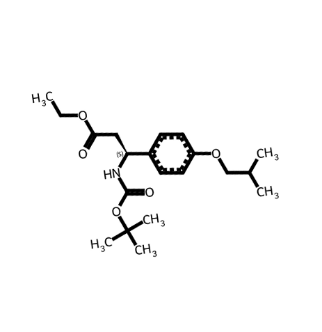 CCOC(=O)C[C@H](NC(=O)OC(C)(C)C)c1ccc(OCC(C)C)cc1